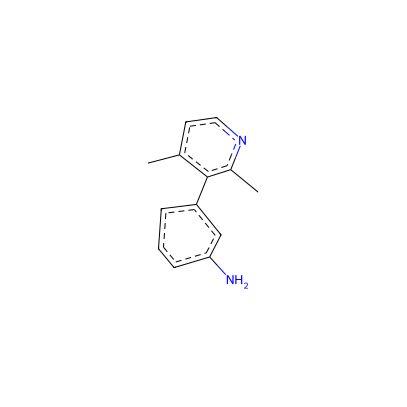 Cc1ccnc(C)c1-c1cccc(N)c1